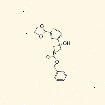 O=C(OCc1ccccc1)N1CC(O)(c2cccc(C3OCCO3)c2)C1